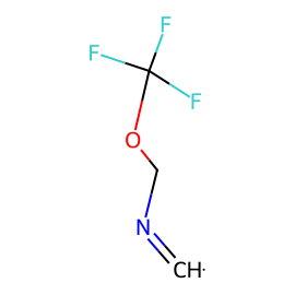 [CH]=NCOC(F)(F)F